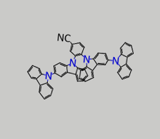 N#Cc1ccc(-n2c3ccccc3c3cc(-n4c5ccccc5c5ccccc54)ccc32)c(-n2c3ccccc3c3cc(-n4c5ccccc5c5ccccc54)ccc32)c1